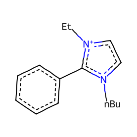 CCCCn1cc[n+](CC)c1-c1ccccc1